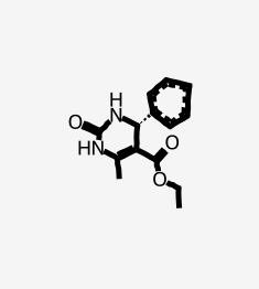 CCOC(=O)C1=C(C)NC(=O)N[C@@H]1c1ccccc1